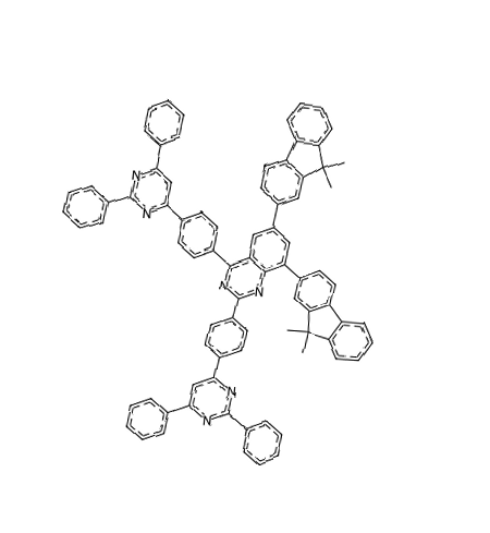 CC1(C)c2ccccc2-c2ccc(-c3cc(-c4ccc5c(c4)C(C)(C)c4ccccc4-5)c4nc(-c5ccc(-c6cc(-c7ccccc7)nc(-c7ccccc7)n6)cc5)nc(-c5ccc(-c6cc(-c7ccccc7)nc(-c7ccccc7)n6)cc5)c4c3)cc21